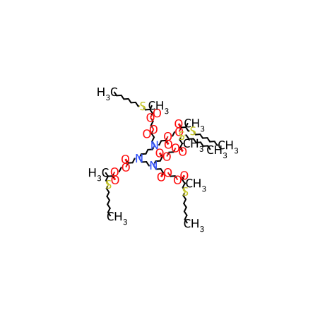 CCCCCCCCSCC(C)C(=O)OCCOC(=O)CCN(CCCCN(CCC(=O)OCCOC(=O)C(C)CSCCCCCCCC)CCC(=O)OCCOC(=O)C(C)CSCCCCCCCC)CCCN(CCC(=O)OCCOC(=O)C(C)CSCCCCCCCC)CCC(=O)OCCOC(=O)C(C)CSCCCCCCCC